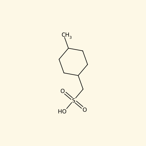 CC1CCC(CS(=O)(=O)O)CC1